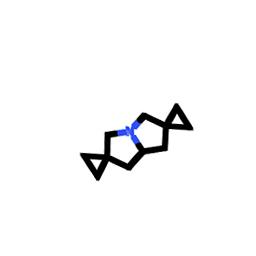 C1CC12CC1CC3(CC3)CN1C2